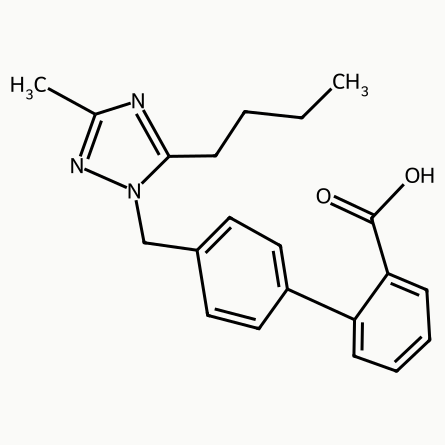 CCCCc1nc(C)nn1Cc1ccc(-c2ccccc2C(=O)O)cc1